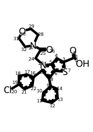 O=C(O)c1cc2c(s1)c(-c1ccccc1)c(-c1ccc(Cl)cc1)n2CC(=O)N1CCOCC1